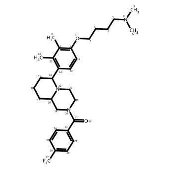 Cc1c(OCCCCN(C)C)ccc(C2CCCC3CN(C(=O)c4ccc(C(F)(F)F)cc4)CCN32)c1C